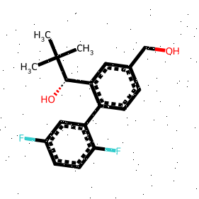 CC(C)(C)[C@@H](O)c1cc(CO)ccc1-c1cc(F)ccc1F